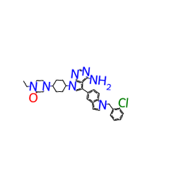 CCN1CCN(C2CCC(n3cc(-c4ccc5c(ccn5Cc5ccccc5Cl)c4)c4c(N)ncnc43)CC2)CC1=O